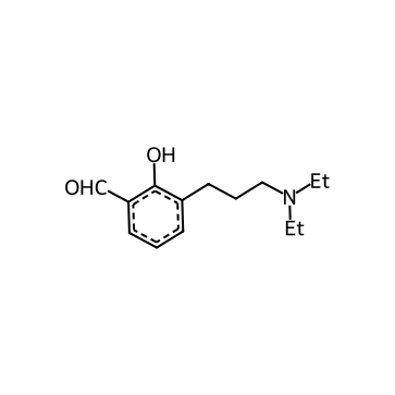 CCN(CC)CCCc1cccc(C=O)c1O